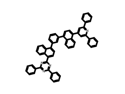 c1ccc(-c2cc(-c3ccc(-c4cccc(-c5ccc(-c6nc(-c7ccccc7)nc(-c7ccccc7)n6)c6ccccc56)c4)c4ccccc34)cc(-c3ccccc3)n2)cc1